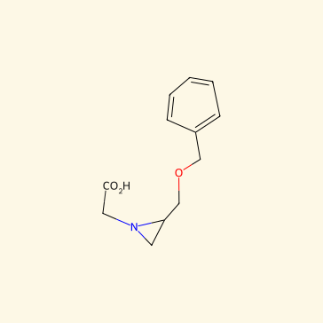 O=C(O)CN1CC1COCc1ccccc1